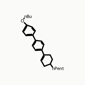 CCCCCC1CC=C(c2ccc(-c3ccc(OCCCC)cc3)cc2)CC1